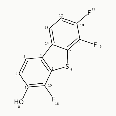 Oc1ccc2c(sc3c(F)c(F)ccc32)c1F